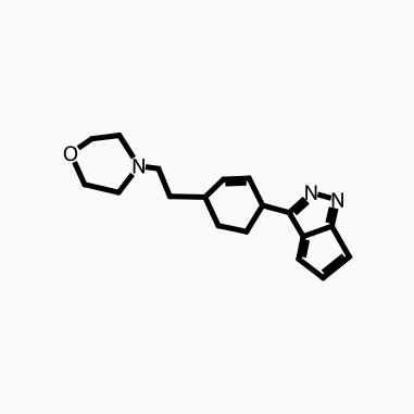 C1=CC2=NN=C(C3C=CC(CCN4CCOCC4)CC3)C2=C1